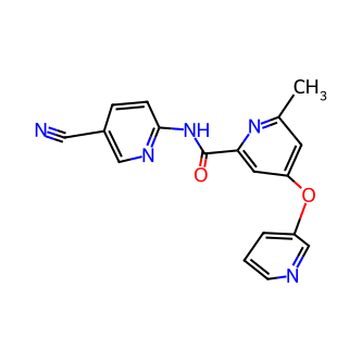 Cc1cc(Oc2cccnc2)cc(C(=O)Nc2ccc(C#N)cn2)n1